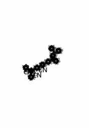 N#Cc1cc(-c2cc(-c3ccccc3C#N)nc(-c3ccccc3C#N)n2)ccc1-c1ccc(-c2ccc(-n3c4ccccc4c4cc(N(c5ccccc5)c5ccccc5)ccc43)cc2)cc1